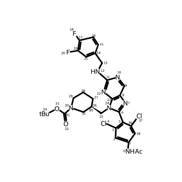 CC(=O)Nc1cc(Cl)c(-c2nc3cnc(NCc4ccc(F)c(F)c4)nc3n2C[C@@H]2CCCN(C(=O)OC(C)(C)C)C2)c(Cl)c1